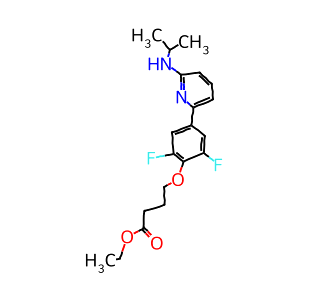 CCOC(=O)CCCOc1c(F)cc(-c2cccc(NC(C)C)n2)cc1F